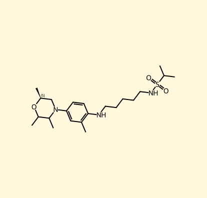 Cc1cc(N2C[C@H](C)OC(C)C2C)ccc1NCCCCCNS(=O)(=O)C(C)C